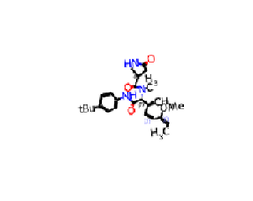 C=C(/C=C\C(=C/C)OC)[C@H](C(=O)Nc1ccc(C(C)(C)C)cc1)N(C)C(=O)[C@H]1CNC(=O)C1